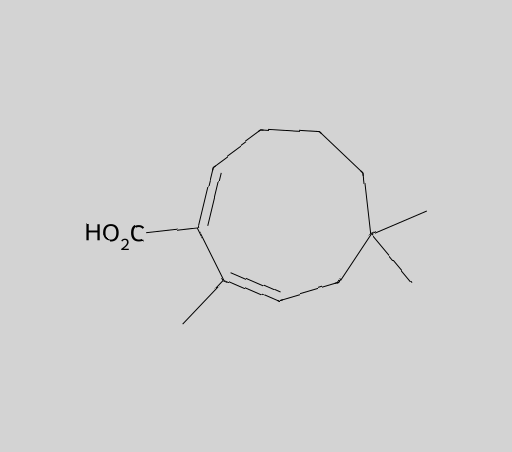 CC1=CCC(C)(C)CCC/C=C\1C(=O)O